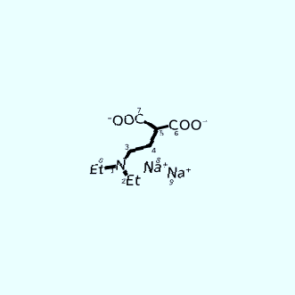 CCN(CC)CCC(C(=O)[O-])C(=O)[O-].[Na+].[Na+]